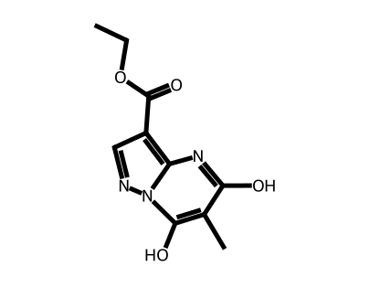 CCOC(=O)c1cnn2c(O)c(C)c(O)nc12